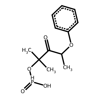 CC(Oc1ccccc1)C(=O)C(C)(C)O[PH](=O)O